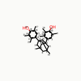 Cc1cc(C23CC4(C)CC(C)(C2)CC(c2cc(C)c(O)c(C)c2C)(C4)C3)c(C)c(C)c1O